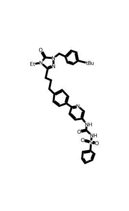 CCn1c(CCCc2ccc(-c3ccc(NC(=O)NS(=O)(=O)c4ccccc4)cn3)cc2)nn(Cc2ccc(C(C)(C)C)cc2)c1=O